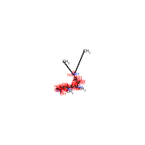 CCCCCCCCCCCCC/C=C/[C@@H](O)[C@H](CO[C@@H]1OC(CO)[C@@H](O[C@@H]2OC(CO)[C@H](O)[C@H](O[C@@H]3OC(CO)[C@@H](O[C@@H]4OC(CO)[C@H](O)[C@H](O[C@@H]5OC(CO)[C@@H](O[C@@H]6OC(CO)[C@H](O)[C@H](O[C@]7(C(=O)O)CC(O)[C@@H](NC(=O)CO)C([C@H](O)[C@H](O)CO)O7)C6O)[C@H](O)C5NC(C)=O)C4O)[C@H](O)C3NC(C)=O)C2O)[C@H](O)C1O)NC(=O)CCCCCCCCCCCCCCCCCCCCCCC